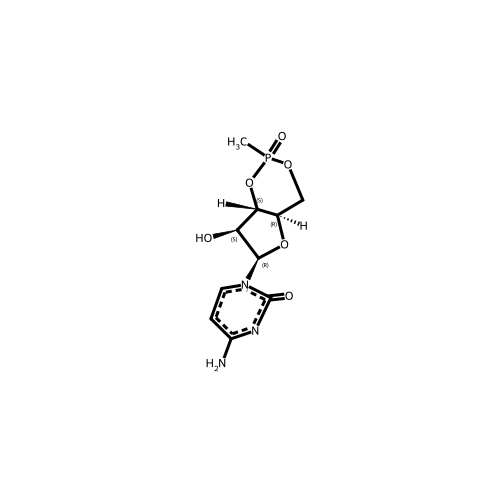 CP1(=O)OC[C@H]2O[C@@H](n3ccc(N)nc3=O)[C@@H](O)[C@@H]2O1